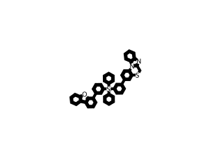 c1ccc([Si](c2ccccc2)(c2cccc(-c3ccc4c(c3)SCc3nc5ccccc5n3-4)c2)c2cccc(-c3cccc4c3oc3ccccc34)c2)cc1